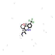 C=C(/C=C\C)[C@@H]1Nc2ccc(C(F)(F)F)cc2[C@H]2OCCC[C@H]21